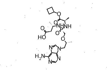 C[C@H](Cn1cnc2c(N)ncnc21)OC[P@@](=O)(N[C@@H](C)CC(=O)O)N[C@H](C)C(=O)OC1CCC1